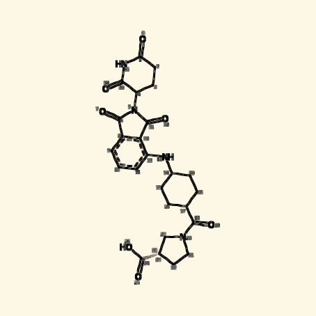 O=C1CCC(N2C(=O)c3cccc(NC4CCC(C(=O)N5CC[C@H](C(=O)O)C5)CC4)c3C2=O)C(=O)N1